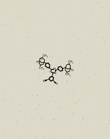 C[C@@H]1C[C@@H]2C[C@H](C)CC(c3ccc(-c4nc(-c5ccc(C67C[C@H](C)C[C@H](C[C@H](C)C6)C7)cc5)nc(-c5cc(C#N)cc(C#N)c5)n4)cc3)(C1)C2